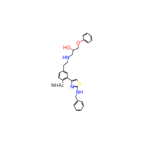 CC(=O)Nc1ccc(CCNCC(O)COc2ccccc2)cc1-c1csc(NCc2ccccc2)n1